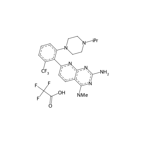 CNc1nc(N)nc2nc(-c3c(N4CCN(C(C)C)CC4)cccc3C(F)(F)F)ccc12.O=C(O)C(F)(F)F